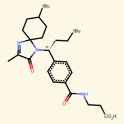 CC1=NC2(CCC(C(C)(C)C)CC2)N([C@H](CCC(C)(C)C)c2ccc(C(=O)NCCC(=O)O)cc2)C1=O